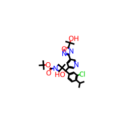 CC(C)c1ccc(C(O)(c2cncc(-c3noc(C(C)(C)O)n3)c2)C2(C)CN(C(=O)OC(C)(C)C)C2)cc1Cl